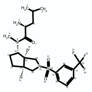 CC(C)C[C@H](N)C(=O)N(C)[C@H]1CC[C@@H]2CN(S(=O)(=O)c3cccc(C(F)(F)F)c3)C[C@@H]21